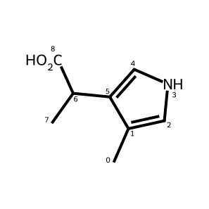 Cc1c[nH]cc1C(C)C(=O)O